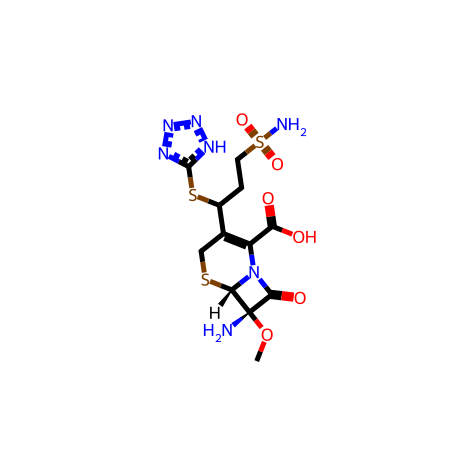 CO[C@@]1(N)C(=O)N2C(C(=O)O)=C(C(CCS(N)(=O)=O)Sc3nnn[nH]3)CS[C@H]21